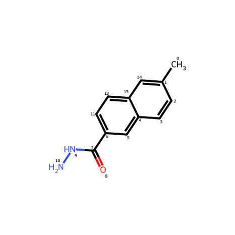 Cc1ccc2cc(C(=O)NN)ccc2c1